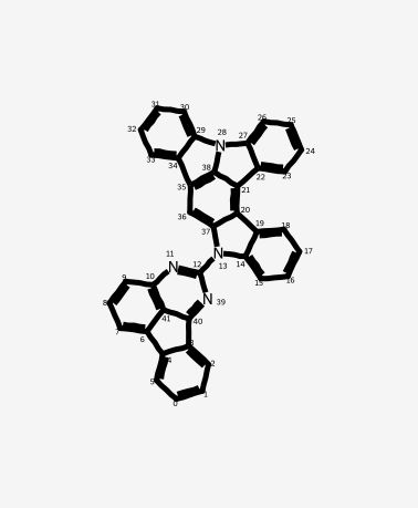 c1ccc2c(c1)-c1cccc3nc(-n4c5ccccc5c5c6c7ccccc7n7c8ccccc8c(cc54)c67)nc-2c13